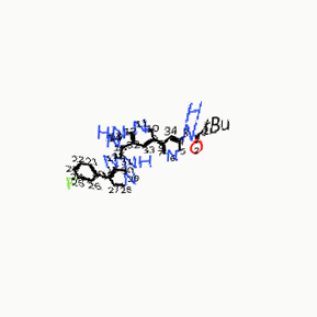 CC(C)(C)C(=O)Nc1cncc(-c2cnc3[nH]nc(-c4nc5c(-c6cccc(F)c6)ccnc5[nH]4)c3c2)c1